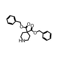 O=C(OCc1ccccc1)C1(C(=O)OCc2ccccc2)CCNCC1